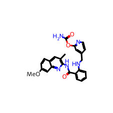 COc1ccc2cc(C)c(NC(=O)c3ccccc3NCc3ccnc(OC(N)=O)c3)nc2c1